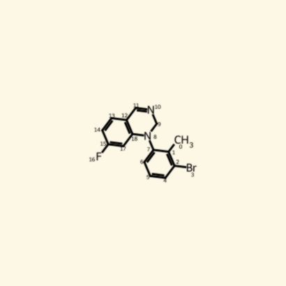 Cc1c(Br)cccc1N1CN=Cc2ccc(F)cc21